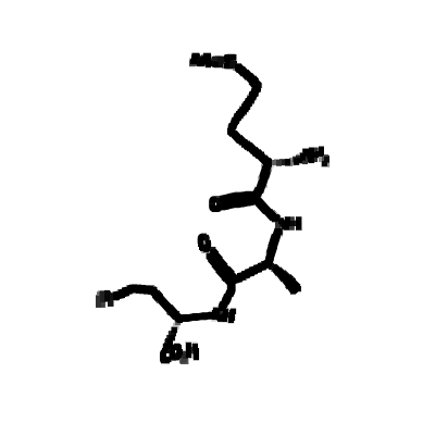 CSCC[C@H](N)C(=O)N[C@@H](C)C(=O)N[C@@H](CC(C)C)C(=O)O